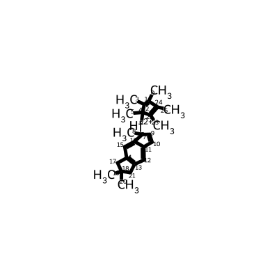 CC1=C(C)[C](C)([Hf+2][C]2(C)C=Cc3cc4c(cc32)CC(C)(C)C4)C(C)=C1C